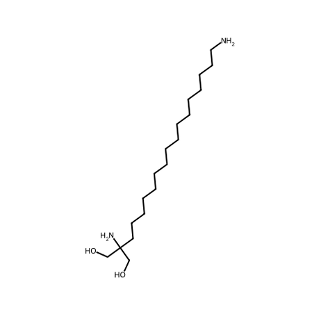 NCCCCCCCCCCCCCCCCC(N)(CO)CO